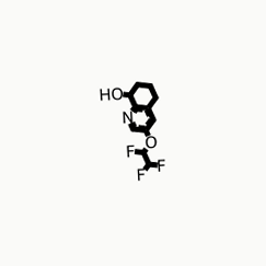 OC1CCCc2cc(OC(F)C(F)F)cnc21